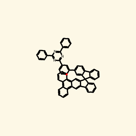 c1ccc(-c2nc(-c3ccccc3)nc(-c3cccc(-c4ccc5c(c4)C4(c6ccccc6-5)c5ccccc5-c5cc6c7ccccc7c7ccccc7c6cc54)c3)n2)cc1